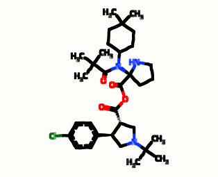 CC1(C)CCC(N(C(=O)C(C)(C)C)[C@]2(C(=O)OC(=O)[C@@H]3CN(C(C)(C)C)C[C@H]3c3ccc(Cl)cc3)CCCN2)CC1